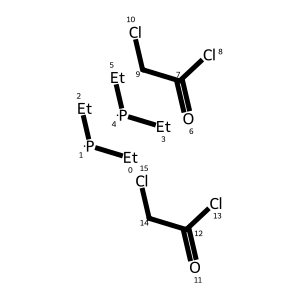 CC[P]CC.CC[P]CC.O=C(Cl)CCl.O=C(Cl)CCl